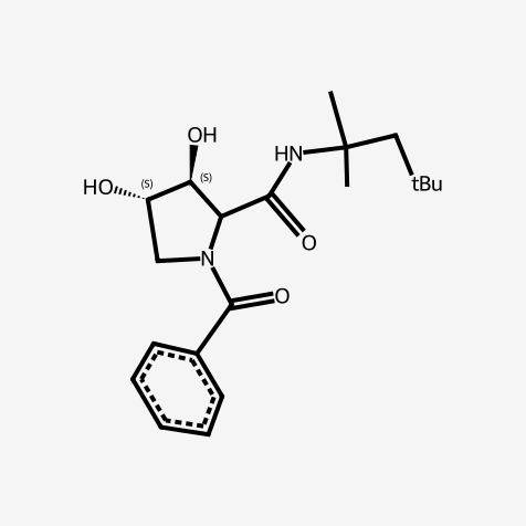 CC(C)(C)CC(C)(C)NC(=O)C1[C@H](O)[C@@H](O)CN1C(=O)c1ccccc1